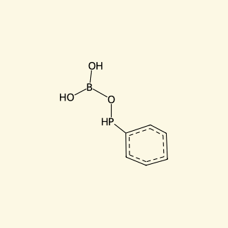 OB(O)OPc1ccccc1